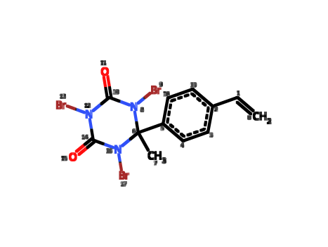 C=Cc1ccc(C2(C)N(Br)C(=O)N(Br)C(=O)N2Br)cc1